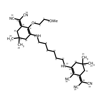 COCCOC1=C(NCCCCCCNC2=C(C#N)C(=C(C#N)C#N)CC(C)(C)C2)CC(C)(C)CC1=C(C#N)C#N